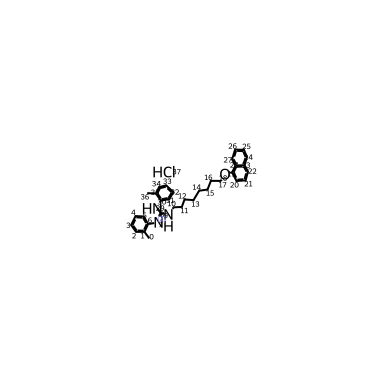 Cc1ccccc1/N=C(/NCCCCCCCCOc1cccc2ccccc12)Nc1ccccc1C.Cl